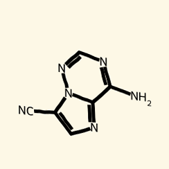 N#Cc1cnc2c(N)ncnn12